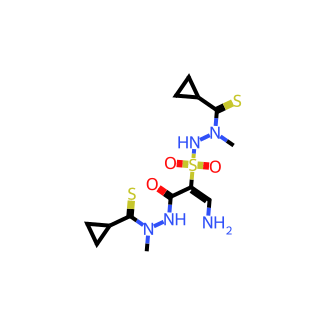 CN(NC(=O)C(=CN)S(=O)(=O)NN(C)C(=S)C1CC1)C(=S)C1CC1